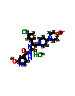 COc1cc(C(=O)Nc2nc(-c3cc(Cl)cs3)c(N3CCC(N4CC[S+]([O-])CC4)CC3)s2)ccn1.Cl